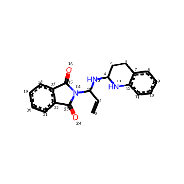 C=CC(NC1CCc2ccccc2N1)N1C(=O)c2ccccc2C1=O